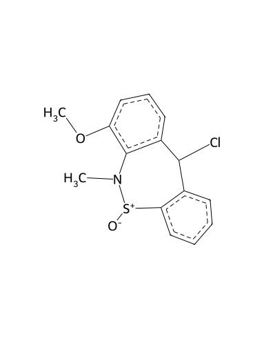 COc1cccc2c1N(C)[S+]([O-])c1ccccc1C2Cl